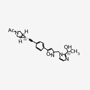 CC(=O)N1C[C@@H]2[C@@H](C#Cc3ccc(-c4cc(Cn5ccnc5[C@H](C)O)no4)cc3)[C@@H]2C1